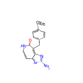 COc1ccc(Cc2c3nc(N)nc-3cc[nH]c2=O)cc1